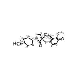 Cc1c(Cl)ccc(CC2(C)CCN([C@H]3CC[C@@H](O)CC3)C2=O)c1Cl